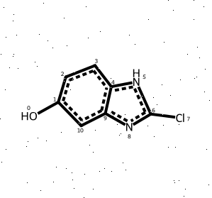 Oc1ccc2[nH]c(Cl)nc2c1